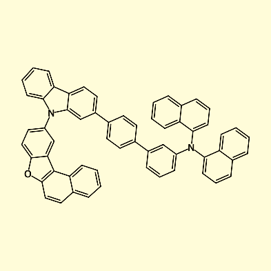 c1cc(-c2ccc(-c3ccc4c5ccccc5n(-c5ccc6oc7ccc8ccccc8c7c6c5)c4c3)cc2)cc(N(c2cccc3ccccc23)c2cccc3ccccc23)c1